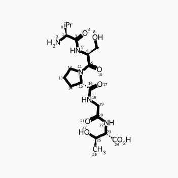 CC(C)[C@H](N)C(=O)N[C@@H](CO)C(=O)N1CCC[C@H]1C(=O)NCC(=O)N[C@H](C(=O)O)[C@@H](C)O